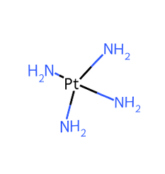 [NH2][Pt]([NH2])([NH2])[NH2]